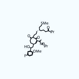 COc1ccc(F)cc1C(O)CC1/C=C(/C(C)=N/OC(C)C)C(=O)C(CCC[C@@H](CCCC(=O)C(C)C)CCSC)C(=O)CC1